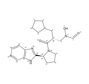 O=CN(O)C[C@@H](CC1CCCC1)C(=O)N1CCC[C@H]1c1nc2ccncc2[nH]1